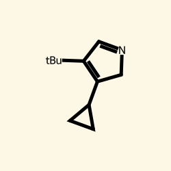 CC(C)(C)C1=C(C2CC2)CN=C1